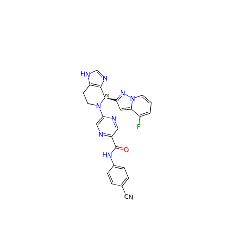 N#Cc1ccc(NC(=O)c2cnc(N3CCc4[nH]cnc4[C@H]3c3cc4c(F)cccn4n3)cn2)cc1